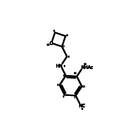 [C-]#[N+]c1ccc(NCC2CCO2)c(NC(C)=O)c1